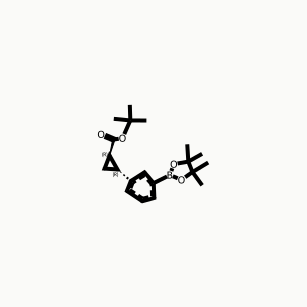 CC(C)(C)OC(=O)[C@@H]1C[C@H]1c1cccc(B2OC(C)(C)C(C)(C)O2)c1